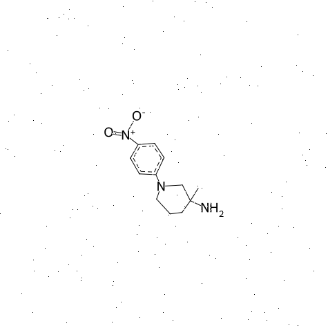 CC1(N)CCCN(c2ccc([N+](=O)[O-])cc2)C1